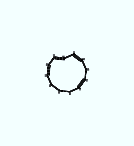 [C]1=C\CCC\C=C/C=C/C=C\C/1